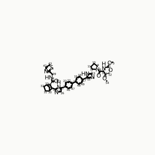 COC(=O)N[C@H](C(=O)N1CCC[C@H]1c1ncc(-c2ccc(-c3ccc(-c4cnc(C5C6CCC(C6)[C@H]5C(=O)NCc5nccs5)[nH]4)cc3)cc2)[nH]1)[C@@H](C)OC